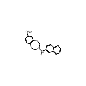 COc1ccc2c(c1)CCN([C@H](C)c1ccc3nccnc3c1)CC2